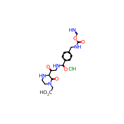 Cl.N=COC(=O)NCc1ccc(C(=O)NCC(=O)C2NCCN(CC(=O)O)C2=O)cc1